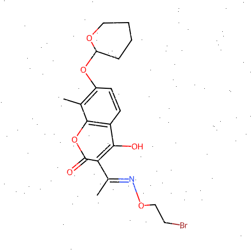 CC(=NOCCBr)c1c(O)c2ccc(OC3CCCCO3)c(C)c2oc1=O